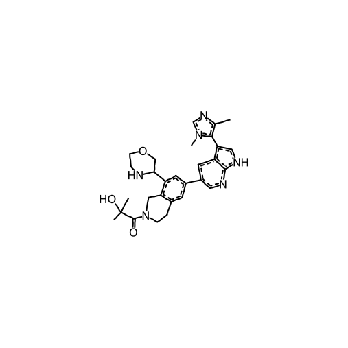 Cc1ncn(C)c1-c1c[nH]c2ncc(-c3cc4c(c(C5COCCN5)c3)CN(C(=O)C(C)(C)O)CC4)cc12